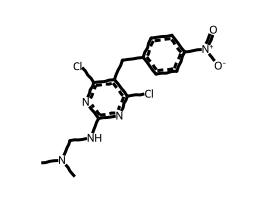 CN(C)CNc1nc(Cl)c(Cc2ccc([N+](=O)[O-])cc2)c(Cl)n1